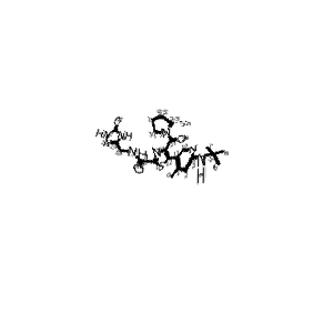 Cc1cc(NC(C)(C)C)ncc1-c1sc(C(=O)NCc2n[nH]c(=O)[nH]2)nc1C(=O)N1CCC[C@@H]1C